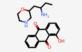 CCC(N)CC1CNCCO1.O=C1c2ccccc2C(=O)c2c(O)cccc21